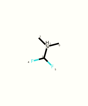 C[SiH](C)C(F)F